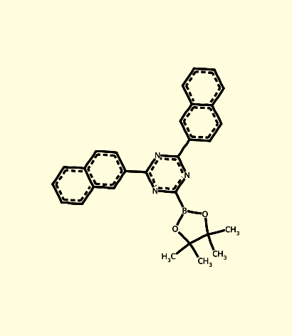 CC1(C)OB(c2nc(-c3ccc4ccccc4c3)nc(-c3ccc4ccccc4c3)n2)OC1(C)C